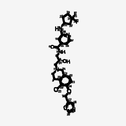 O=C(NC[C@H](O)CN1CCc2c(ccc(OCc3cnco3)c2Cl)C1)c1ccnc(NC2CCC(F)(F)C2)c1